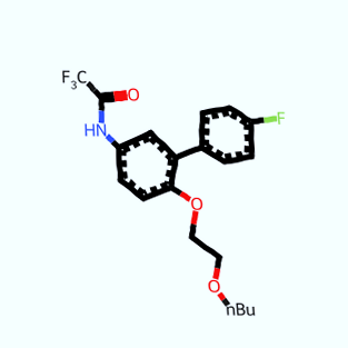 CCCCOCCOc1ccc(NC(=O)C(F)(F)F)cc1-c1ccc(F)cc1